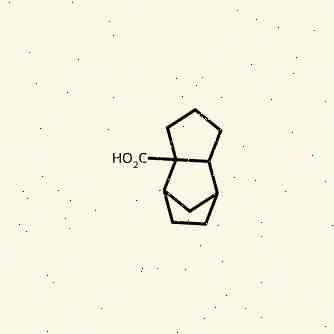 O=C(O)C12CCCC1C1CC[C]2C1